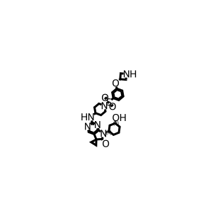 O=C1N([C@@H]2CCC[C@@H](O)C2)c2nc(NC3CCN(S(=O)(=O)c4cccc(OC5CNC5)c4)CC3)ncc2C12CC2